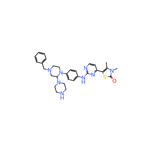 Cc1c(-c2ccnc(Nc3ccc(N4CCN(Cc5ccccc5)CC4N4CCNCC4)cc3)n2)sc(=O)n1C